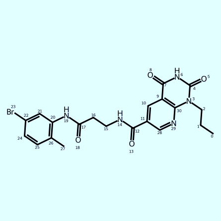 CCCn1c(=O)[nH]c(=O)c2cc(C(=O)NCCC(=O)Nc3cc(Br)ccc3C)cnc21